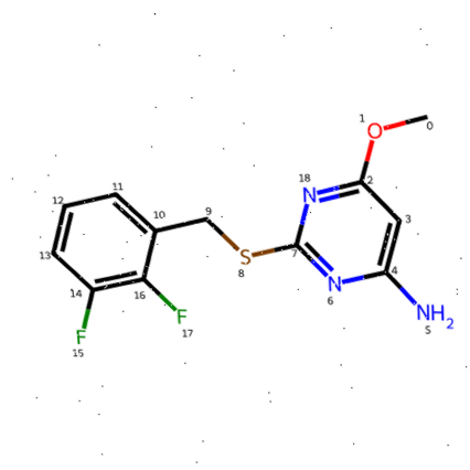 COc1cc(N)nc(SCc2cccc(F)c2F)n1